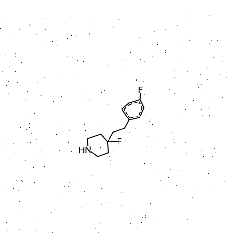 Fc1ccc(CCC2(F)CCNCC2)cc1